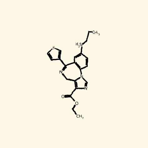 CCC[SiH2]c1ccc2c(c1)C(c1ccsc1)=NCc1c(C(=O)OCC)ncn1-2